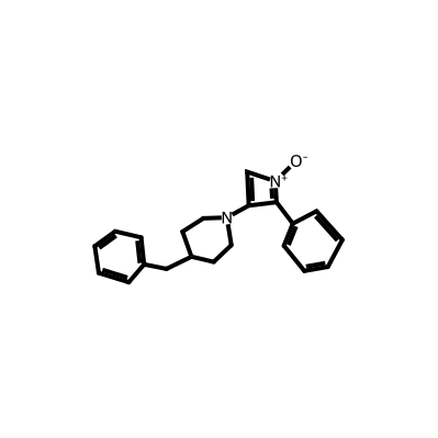 [O-][N+]1=C(c2ccccc2)C(N2CCC(Cc3ccccc3)CC2)=C1